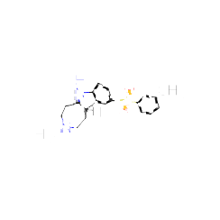 Cc1cccc(S(=O)(=O)c2ccc3c(c2)[C@H]2CCN(C)CC[C@H]2N3)c1